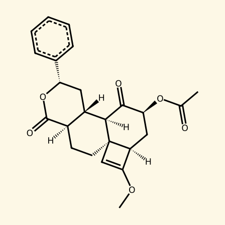 COC1=C[C@@]23CC[C@H]4C(=O)O[C@H](c5ccccc5)C[C@@H]4[C@H]2C(=O)[C@@H](OC(C)=O)C[C@@H]13